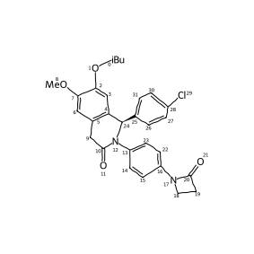 CCC(C)Oc1cc2c(cc1OC)CC(=O)N(c1ccc(N3CCC3=O)cc1)[C@@H]2c1ccc(Cl)cc1